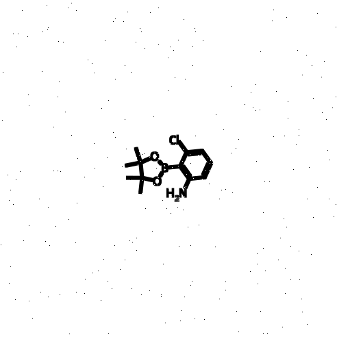 CC1(C)OB(c2c(N)cccc2Cl)OC1(C)C